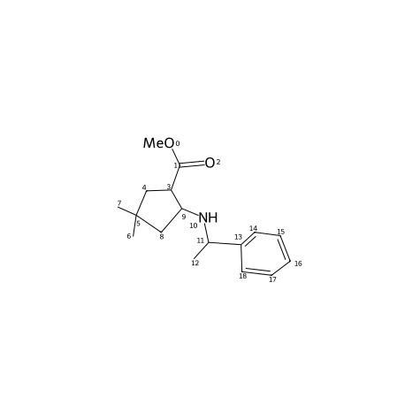 COC(=O)C1CC(C)(C)CC1NC(C)c1ccccc1